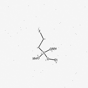 CCO[Si](CCF)(OC)OC